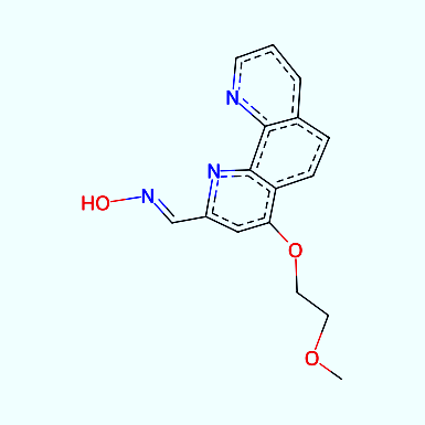 COCCOc1cc(C=NO)nc2c1ccc1cccnc12